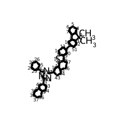 CC1(C)c2ccccc2-c2cc(-c3ccc4sc5c6cc(-c7nc(-c8ccccc8)nc(-c8ccc9ccccc9c8)n7)ccc6ccc5c4c3)ccc21